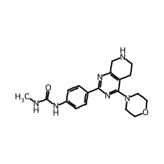 CNC(=O)Nc1ccc(-c2nc3c(c(N4CCOCC4)n2)CCNC3)cc1